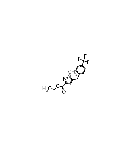 CCOC(=O)c1cc(Cc2ccc(C(F)(F)F)cc2)n(C)n1